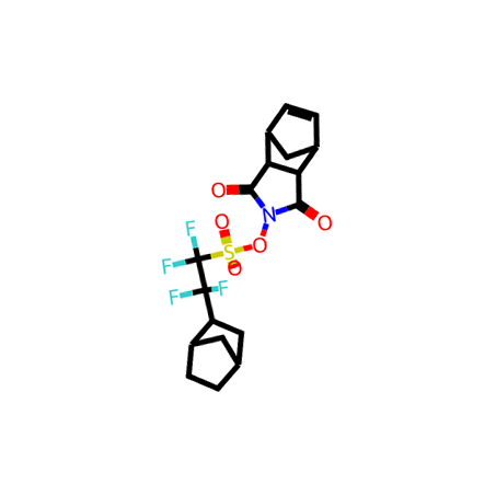 O=C1C2C3C=CC(C3)C2C(=O)N1OS(=O)(=O)C(F)(F)C(F)(F)C1CC2CCC1C2